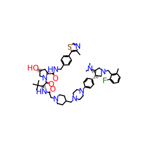 Cc1cccc(F)c1CN1C[C@H](c2ccc(N3CCN(CC4CCN(CC(=O)N[C@@H](C(=O)N5C[C@H](O)C[C@H]5C(=O)NCc5ccc(-c6scnc6C)cc5)C(C)(C)C)CC4)CC3)cc2)[C@@H](N(C)C)C1